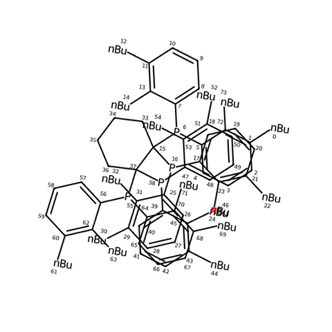 CCCCc1cccc(P(c2cccc(CCCC)c2CCCC)C2(P(c3cccc(CCCC)c3CCCC)c3cccc(CCCC)c3CCCC)CCCCC2(P(c2cccc(CCCC)c2CCCC)c2cccc(CCCC)c2CCCC)P(c2cccc(CCCC)c2CCCC)c2cccc(CCCC)c2CCCC)c1CCCC